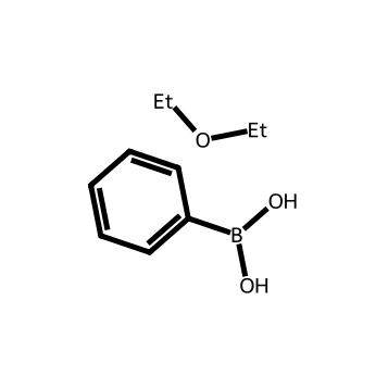 CCOCC.OB(O)c1ccccc1